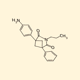 CCCN1C(=O)C2(c3ccccc3)CC(c3ccc(N)cc3)(C2)C1=O